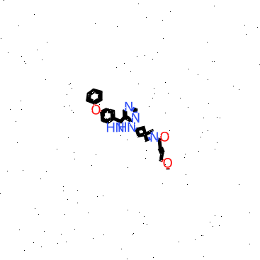 COCC#CC(=O)N1CC2(CC(Nc3ncncc3C(=N)c3ccc(Oc4ccccc4)cc3)C2)C1